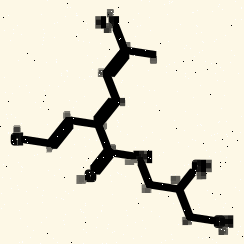 C\C(N)=C/C=C(\C=C\Cl)C(=O)NCC(O)CO